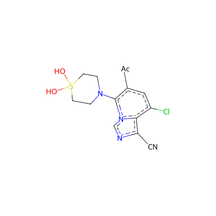 CC(=O)c1cc(Cl)c2c(C#N)ncn2c1N1CCS(O)(O)CC1